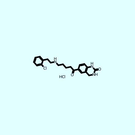 Cl.O=C1NCc2cc(C(=O)CCCCNCCc3ccccc3Cl)ccc2N1